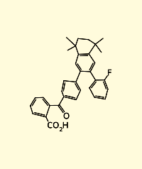 CC1(C)CCC(C)(C)c2cc(-c3ccccc3F)c(-c3ccc(C(=O)c4ccccc4C(=O)O)cc3)cc21